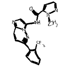 Cn1nccc1C(=O)Nc1cnc2ccc(-c3ccccc3C(F)(F)F)nn12